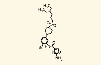 CCN(CC)CCCS(=O)(=O)N1CCN(c2ccc(Br)c(NC(=O)c3coc(N)n3)c2)CC1